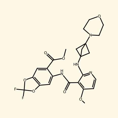 COC(=O)c1cc2c(cc1NC(=O)c1c(OC)ccnc1NC13CC(N4CCOCC4)(C1)C3)OC(F)(F)O2